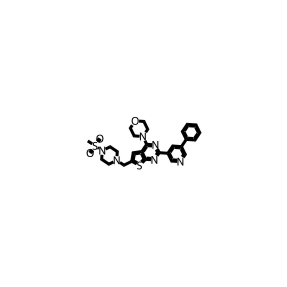 CS(=O)(=O)N1CCN(Cc2cc3c(N4CCOCC4)nc(-c4cncc(-c5ccccc5)c4)nc3s2)CC1